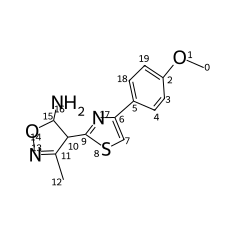 COc1ccc(-c2csc(C3C(C)=NOC3N)n2)cc1